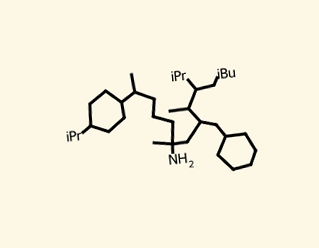 CCC(C)CC(C(C)C)C(C)C(CC1CCCCC1)CC(C)(N)CCCC(C)C1CCC(C(C)C)CC1